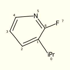 CC(C)c1cccnc1F